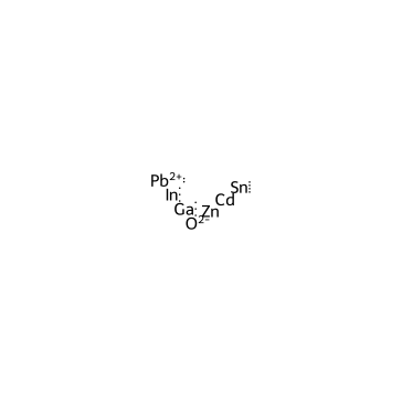 [Cd].[Ga].[In].[O-2].[Pb+2].[Sn].[Zn]